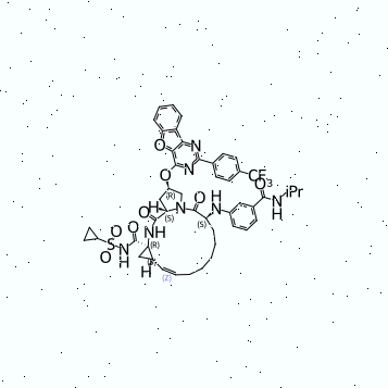 CC(C)NC(=O)c1cccc(N[C@H]2CCCCC/C=C\[C@@H]3C[C@@]3(C(=O)NS(=O)(=O)C3CC3)NC(=O)[C@@H]3C[C@@H](Oc4nc(-c5ccc(C(F)(F)F)cc5)nc5c4oc4ccccc45)CN3C2=O)c1